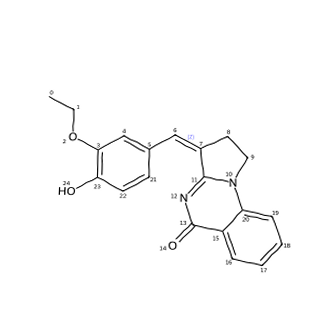 CCOc1cc(/C=C2/CCn3c2nc(=O)c2ccccc23)ccc1O